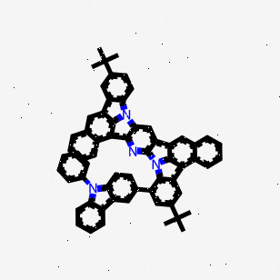 CC(C)(C)c1ccc2c(c1)c1cc3ccccc3c3c4nc5c(cc4n2c13)c1cc2ccccc2c2c3cc(C(C)(C)C)cc(-c4ccc6c(c4)c4ccccc4n6-c4ccccc4)c3n5c12